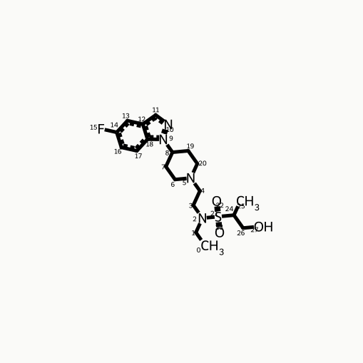 CCN(CCN1CCC(n2ncc3cc(F)ccc32)CC1)S(=O)(=O)C(C)CO